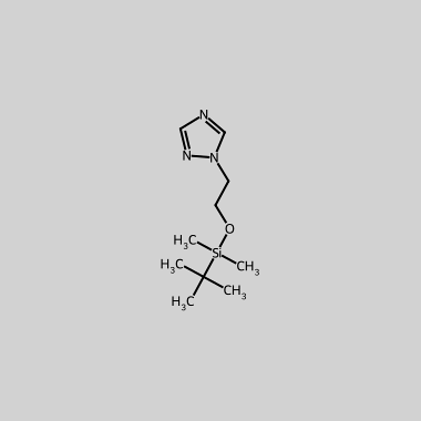 CC(C)(C)[Si](C)(C)OCCn1cncn1